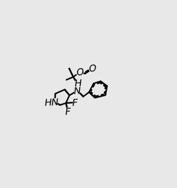 CC(C)(C)OC=O.FC1(F)CNCCC1NCc1ccccc1